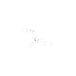 c1ccc(-c2ccc3cc(-c4nc(-c5ccc6oc7cc8ccccc8cc7c6c5)nc(-c5cc6ccccc6s5)n4)ccc3c2)cc1